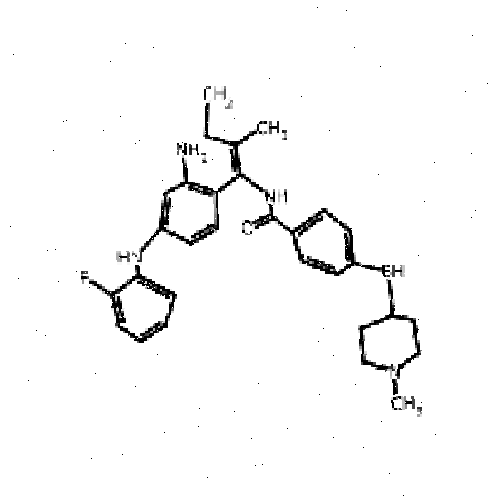 CC/C(C)=C(/NC(=O)c1ccc(BC2CCN(C)CC2)cc1)c1ccc(Nc2ccccc2F)cc1N